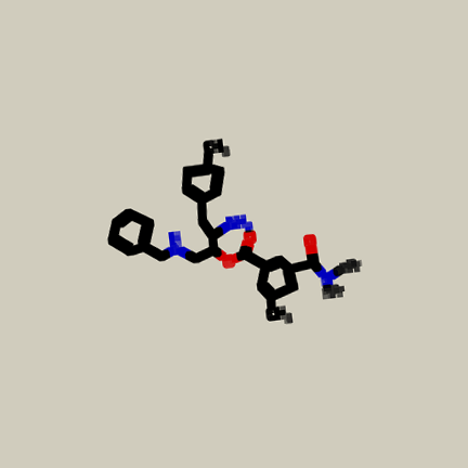 CCCN(CCC)C(=O)c1cc(C)cc(C(=O)OC(CNCc2ccccc2)C(N)Cc2ccc(C)cc2)c1